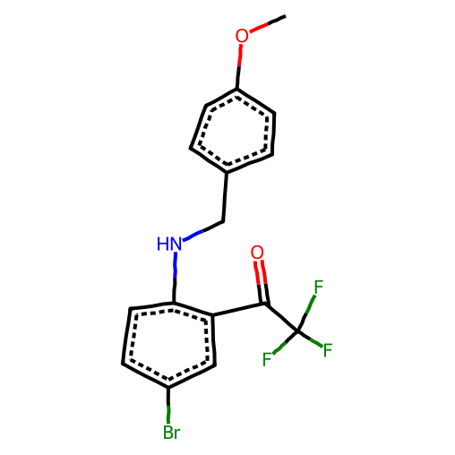 COc1ccc(CNc2ccc(Br)cc2C(=O)C(F)(F)F)cc1